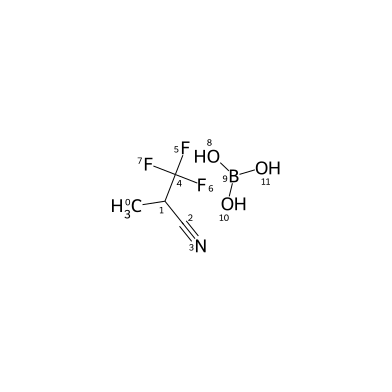 CC(C#N)C(F)(F)F.OB(O)O